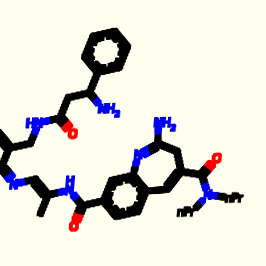 C=C(/C=N\C=C(/C)NC(=O)c1ccc2c(c1)N=C(N)CC(C(=O)N(CCC)CCC)=C2)CNC(=O)CC(N)c1ccccc1